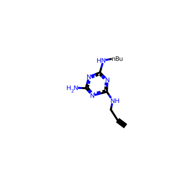 C#CCNc1nc(N)nc(NCCCC)n1